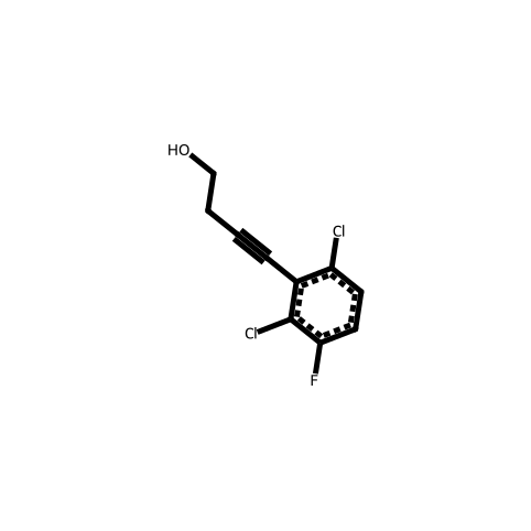 OCCC#Cc1c(Cl)ccc(F)c1Cl